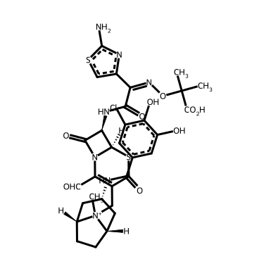 CC(C)(O/N=C(\C(=O)N[C@@H]1C(=O)N2C(C=O)=C(C[N+]3(C)[C@@H]4CC[C@H]3C[C@@H](NC(=O)c3cc(O)c(O)c(Cl)c3)C4)CS[C@H]12)c1csc(N)n1)C(=O)O